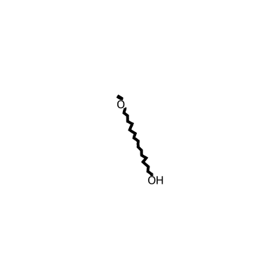 C=COCCCCCCCCCCCCCCCCCO